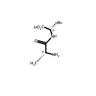 CCCC[C@H](NC(=O)[C@@H](C)N)C(=O)O